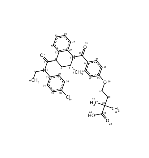 CCN(C(=O)[C@@H]1C[C@@H](C)N(C(=O)c2ccc(OCCC(C)(C)C(=O)O)cc2)c2ccccc21)c1ccc(Cl)cc1